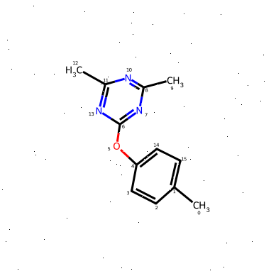 Cc1ccc(Oc2nc(C)nc(C)n2)cc1